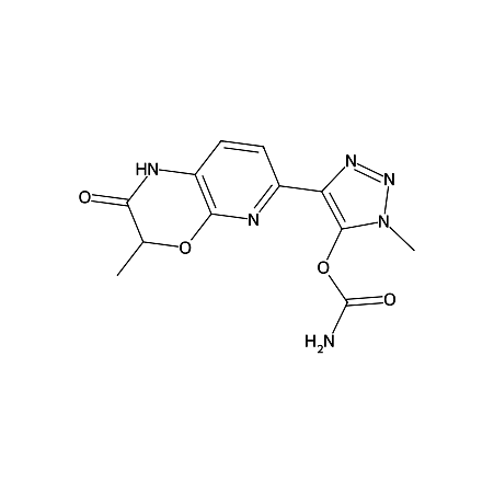 CC1Oc2nc(-c3nnn(C)c3OC(N)=O)ccc2NC1=O